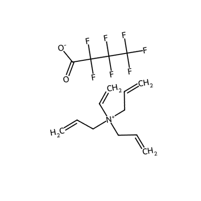 C=CC[N+](C=C)(CC=C)CC=C.O=C([O-])C(F)(F)C(F)(F)C(F)(F)F